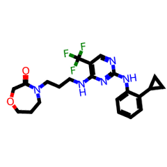 O=C1COCCCN1CCCNc1nc(Nc2ccccc2C2CC2)ncc1C(F)(F)F